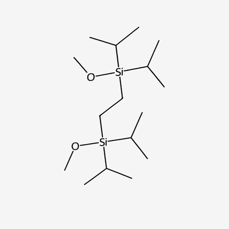 CO[Si](CC[Si](OC)(C(C)C)C(C)C)(C(C)C)C(C)C